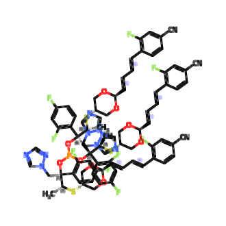 C[C@@H](S[C@H]1CO[C@H](/C=C/C=C/c2ccc(C#N)cc2F)OC1)[C@@](Cn1cncn1)(OP(O[C@@](Cn1cncn1)(c1ccc(F)cc1F)[C@@H](C)S[C@H]1CO[C@H](/C=C/C=C/c2ccc(C#N)cc2F)OC1)O[C@@](Cn1cncn1)(c1ccc(F)cc1F)[C@@H](C)S[C@H]1CO[C@H](/C=C/C=C/c2ccc(C#N)cc2F)OC1)c1ccc(F)cc1F